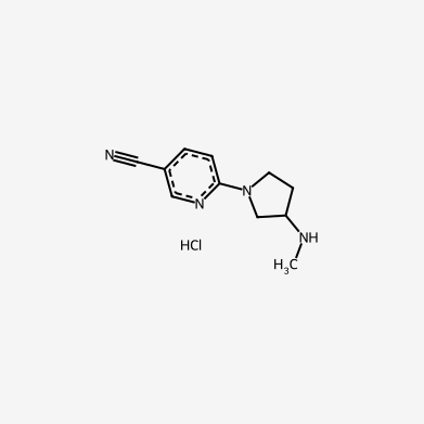 CNC1CCN(c2ccc(C#N)cn2)C1.Cl